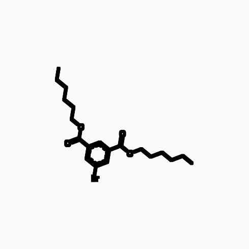 CCCCCCOC(=O)c1cc(Br)cc(C(=O)OCCCCCC)c1